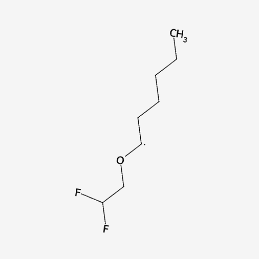 CCCCC[CH]OCC(F)F